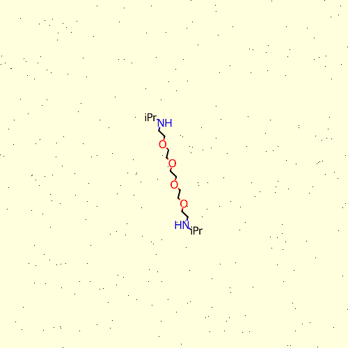 CC(C)NCCOCCOCCOCCOCCNC(C)C